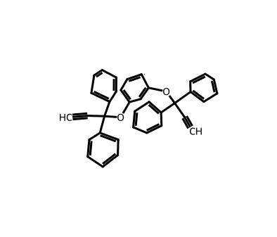 C#CC(Oc1[c]ccc(OC(C#C)(c2ccccc2)c2ccccc2)c1)(c1ccccc1)c1ccccc1